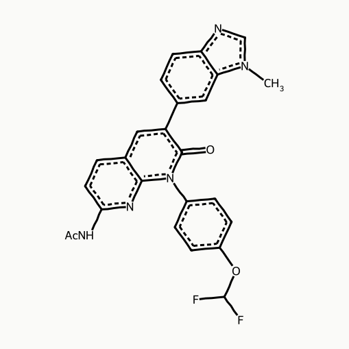 CC(=O)Nc1ccc2cc(-c3ccc4ncn(C)c4c3)c(=O)n(-c3ccc(OC(F)F)cc3)c2n1